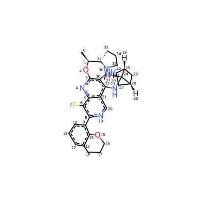 C[C@H](Oc1nc2c(F)c(-c3cccc4c3OCCC4)ncc2c(N[C@@H]2[C@@H]3CC[C@H]2C3)c1N)[C@@H]1CCCN1C